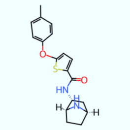 Cc1ccc(Oc2ccc(C(=O)N[C@@H]3C[C@H]4CC[C@@H]3N4)s2)cc1